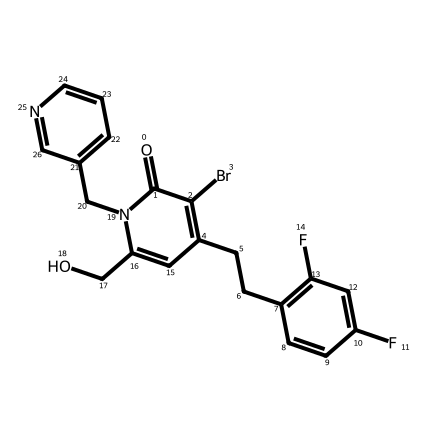 O=c1c(Br)c(CCc2ccc(F)cc2F)cc(CO)n1Cc1cccnc1